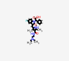 CCN(CC)CCNC(=O)c1c(C)[nH]c(C=C2C(=O)N(C(C(=O)O)c3ccccc3)c3ccc(F)cc32)c1C